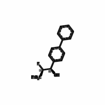 CCOC(=O)[C@@H](F)[C@H](O)c1ccc(-c2ccccc2)cc1